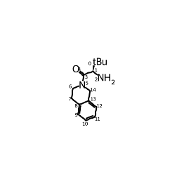 CC(C)(C)[C@@H](N)C(=O)N1CCc2ccccc2C1